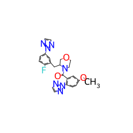 COc1ccc(-n2nccn2)c(C(=O)N2CCOCC2Cc2cc(-n3nccn3)ccc2F)c1